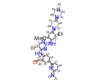 CCc1cc(Nc2ncc(Br)c(Nc3ccc(-c4cccc(N(C)C)n4)cc3P(C)(C)=O)n2)c(OC)cc1N1CCC(N2CCN(C)CC2)CC1